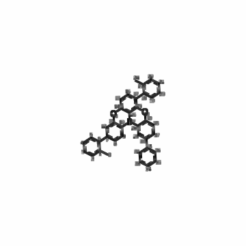 Cc1ccccc1-c1ccc2c(c1)Oc1ccc(-c3ccccc3C)c3c1B2c1cc(-c2ccccc2)ccc1O3